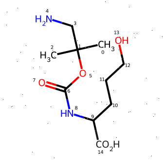 CC(C)(CN)OC(=O)NC(CCCO)C(=O)O